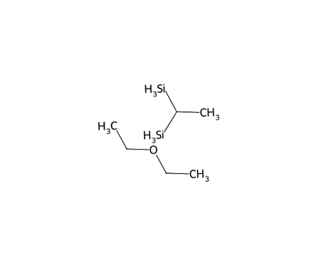 CC([SiH3])[SiH3].CCOCC